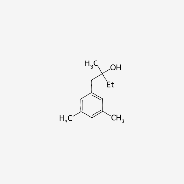 CCC(C)(O)Cc1cc(C)cc(C)c1